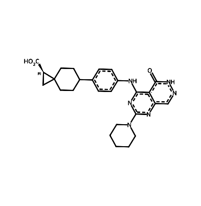 O=C(O)[C@@H]1CC12CCC(c1ccc(Nc3nc(N4CCCCC4)nc4cn[nH]c(=O)c34)cc1)CC2